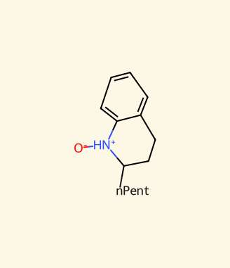 CCCCCC1CCc2ccccc2[NH+]1[O-]